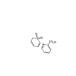 O=C(O)c1ccccn1.O=S1(=O)C=CC=CC1